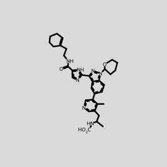 Cc1c(CC(C)NC(=O)O)cncc1-c1ccc2c(c1)c(-c1ncc(C(=O)NCCC3=CCCCC3)[nH]1)nn2C1CCCCO1